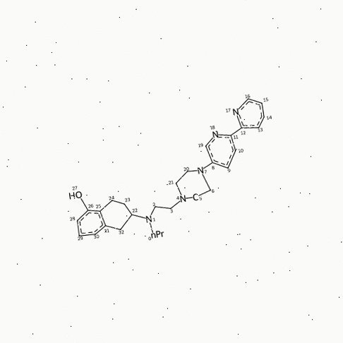 CCCN(CCN1CCN(c2ccc(-c3ccccn3)nc2)CC1)C1CCc2c(O)cccc2C1